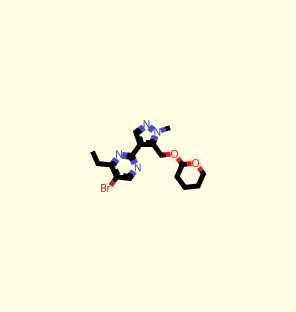 CCc1nc(-c2cnn(C)c2COC2CCCCO2)ncc1Br